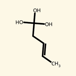 CC=CCC(O)(O)O